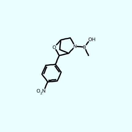 CB(O)N1CC2CC1C(c1ccc([N+](=O)[O-])cc1)O2